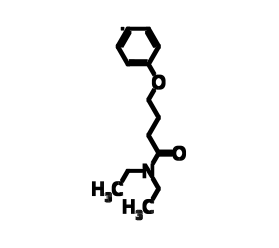 CCN(CC)C(=O)CCCOc1cc[c]cc1